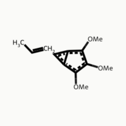 C=CC.COc1c2cc-2c(OC)c1OC